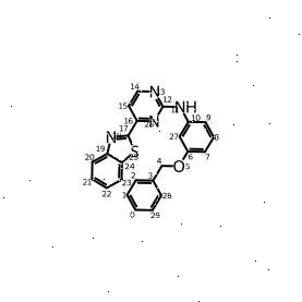 c1ccc(COc2cccc(Nc3nccc(-c4nc5ccccc5s4)n3)c2)cc1